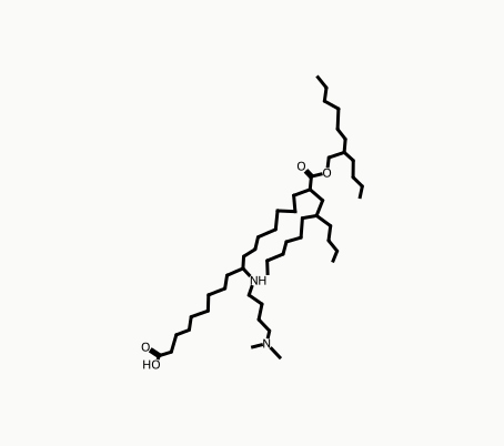 CCCCCCC(CCCC)COC(=O)C(CCCCCCCC(CCCCCCCCC(=O)O)NCCCCN(C)C)CC(CCCC)CCCCCC